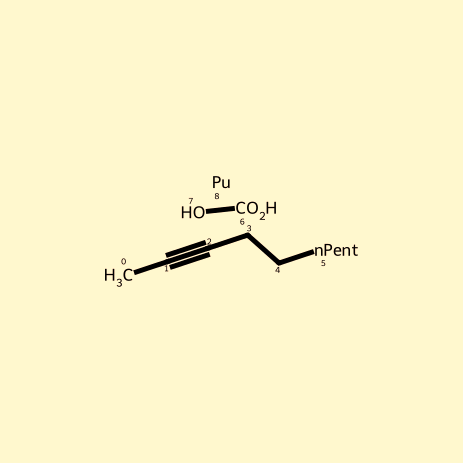 CC#CCCCCCCC.O=C(O)O.[Pu]